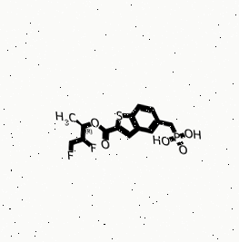 C[C@@H](OC(=O)c1cc2cc(CP(=O)(O)O)ccc2s1)C(F)CF